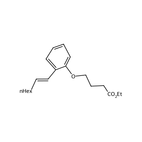 CCCCCCC=Cc1ccccc1OCCCC(=O)OCC